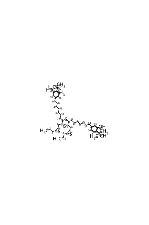 CCCC1SC1CC1SC(CC2SC2CCC)C(CCCCCCCc2ccc(C(C)(C)C)c(O)c2)SC1CCCCCCCc1ccc(C(C)(C)C)c(O)c1